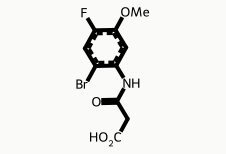 COc1cc(NC(=O)CC(=O)O)c(Br)cc1F